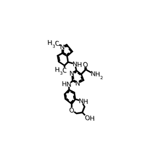 CC1C=Cc2c(ccn2C)C1Nc1nc(Nc2ccc3c(c2)NCC(O)CO3)ncc1C(N)=O